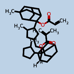 C=CC(=O)OC1(C2CC(CC34CC5CC(C3)C(OC(=O)C(=C)C)(C3CCCC3C)[C@H](C5)C4)CC2C)C2CC3CC1CC(C)(C3)C2